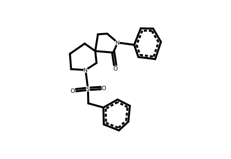 O=C1N(c2ccccc2)CCC12CCCN(S(=O)(=O)Cc1ccccc1)C2